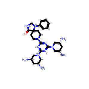 N[C@@H]1C[C@H](N)CN(c2nc(N3CCC4(CC3)C(=O)NCN4c3ccccc3)nc(N3C[C@H](N)C[C@H](N)C3)n2)C1